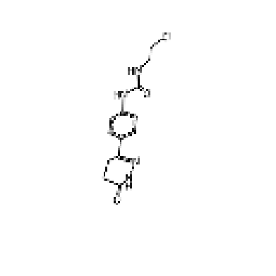 O=C1CCC(c2ccc(NC(=O)NCCCl)cc2)=NN1